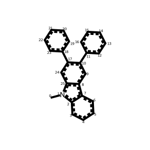 Cn1c2ccccc2c2cc(-c3ccccc3)c(-c3ccccc3)cc21